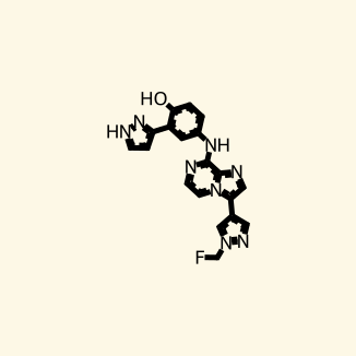 Oc1ccc(Nc2nccn3c(-c4cnn(CF)c4)cnc23)cc1-c1cc[nH]n1